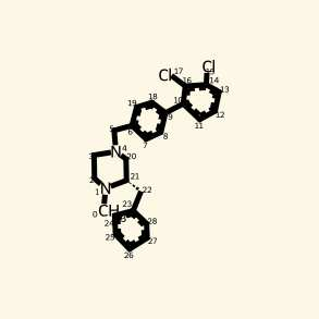 CN1CCN(Cc2ccc(-c3cccc(Cl)c3Cl)cc2)C[C@@H]1Cc1ccccc1